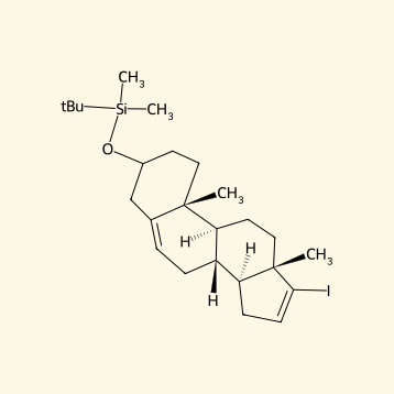 CC(C)(C)[Si](C)(C)OC1CC[C@@]2(C)C(=CC[C@@H]3[C@@H]2CC[C@]2(C)C(I)=CC[C@@H]32)C1